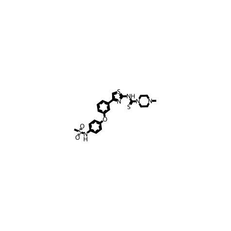 CN1CCN(C(=S)Nc2nc(-c3cccc(Oc4ccc(NS(C)(=O)=O)cc4)c3)cs2)CC1